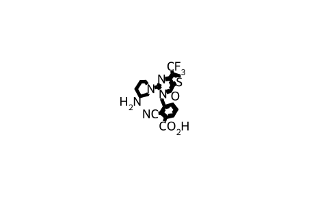 N#Cc1c(Cn2c(N3CCC[C@@H](N)C3)nc3c(C(F)(F)F)csc3c2=O)cccc1C(=O)O